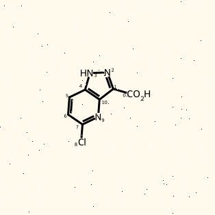 O=C(O)c1n[nH]c2ccc(Cl)nc12